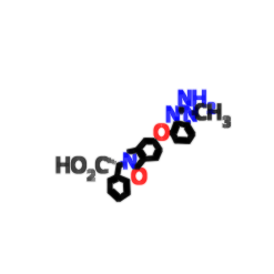 Cn1c(N)nc2c(Oc3ccc4c(c3)CN([C@@H](CC(=O)O)c3ccccc3)C4=O)cccc21